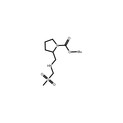 CC(C)(C)OC(=O)N1CCCC1CNCS(C)(=O)=O